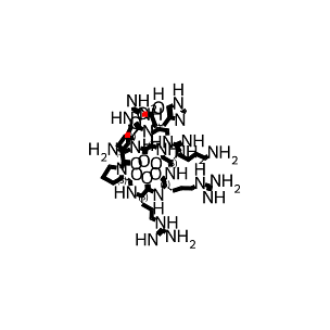 N=C(N)NCCC[C@H](NC(=O)[C@H](CCCNC(=N)N)NC(=O)[C@@H]1CCCN1C(=O)[C@@H](N)CCCNC(=N)N)C(=O)N[C@@H](CCCCN)C(=O)N[C@@H](CCCNC(=N)N)C(=O)N1CCC[C@H]1C(=O)N[C@@H](Cc1c[nH]cn1)C(=O)O